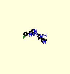 C=C(/C=C(/C)C(=N)c1ccnc(C)c1)CNc1nccc2cc(-c3cccc(F)c3)ncc12